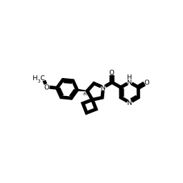 COc1ccc([C@H]2CN(C(=O)c3cncc(=O)[nH]3)CC23CCC3)cc1